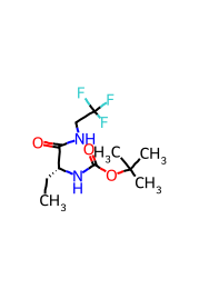 CC[C@@H](NC(=O)OC(C)(C)C)C(=O)NCC(F)(F)F